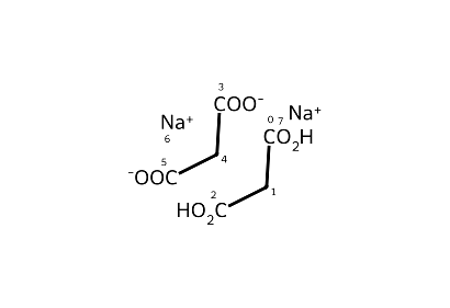 O=C(O)CC(=O)O.O=C([O-])CC(=O)[O-].[Na+].[Na+]